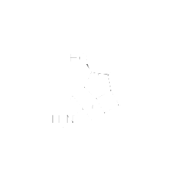 CC(C)(N)[C@@]12CCC1C[C@H](O)C2